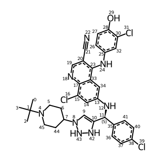 CC(C)(C)N1CCC(N2C=C([C@@H](Nc3cc(Cl)c4ncc(C#N)c(Nc5ccc(O)c(Cl)c5)c4c3)c3ccc(Cl)cc3)NN2)CC1